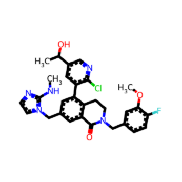 CNc1nccn1Cc1cc2c(c(-c3cc(C(C)O)cnc3Cl)c1)CCN(Cc1ccc(F)c(OC)c1)C2=O